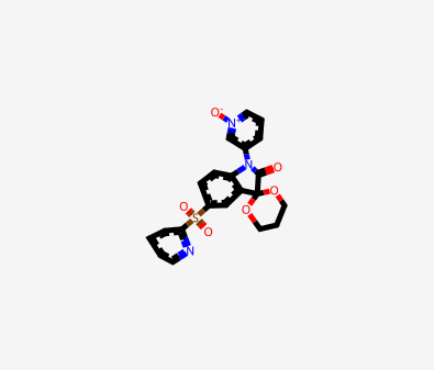 O=C1N(c2ccc[n+]([O-])c2)c2ccc(S(=O)(=O)c3ccccn3)cc2C12OCCCO2